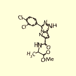 COC(=O)C(C)NC(=O)c1cc2[nH]nc(-c3ccc(Cl)c(Cl)c3)n2n1